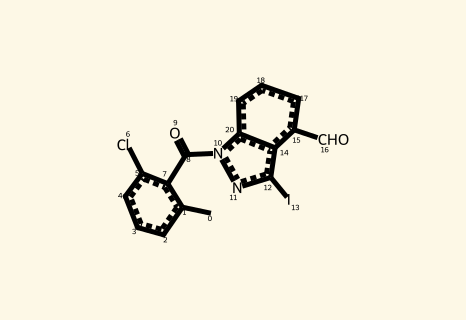 Cc1cccc(Cl)c1C(=O)n1nc(I)c2c(C=O)cccc21